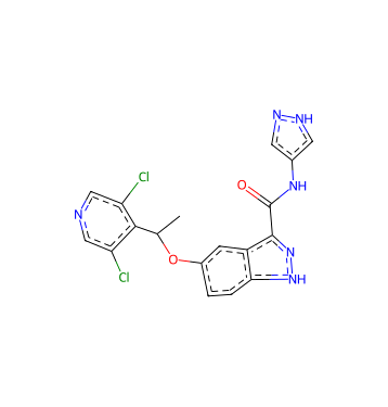 CC(Oc1ccc2[nH]nc(C(=O)Nc3cn[nH]c3)c2c1)c1c(Cl)cncc1Cl